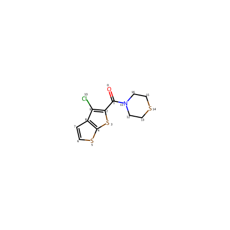 O=C(c1sc2sccc2c1Cl)N1CCSCC1